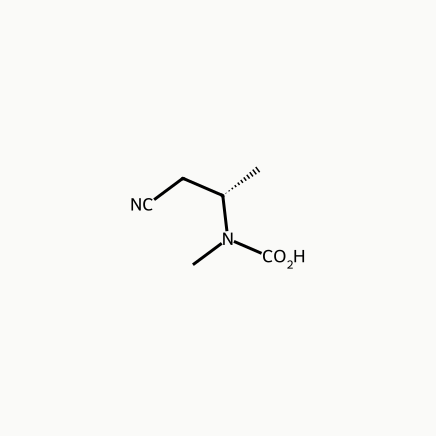 C[C@@H](CC#N)N(C)C(=O)O